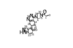 C=CC(=O)N1CCN(c2ncnc3c2CC(C)[C@@H](c2c(C)ccc4[nH]ncc24)C3)CC1